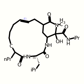 CCCC1CCCC/C=C/CC2CC(NC(=O)[C@H](CC(C)C)NC1=O)C(O)(C(=O)NC(C)C)N(C)C2=O